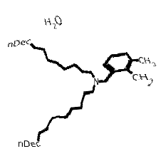 CCCCCCCCCCCCCCCCCCN(CCCCCCCCCCCCCCCCCC)Cc1cccc(C)c1C.O